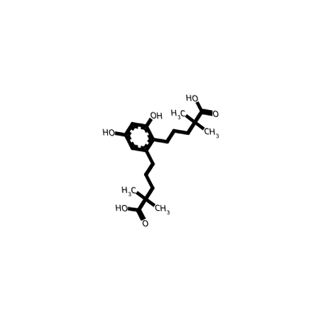 CC(C)(CCCc1cc(O)cc(O)c1CCCC(C)(C)C(=O)O)C(=O)O